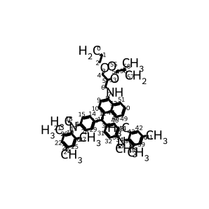 C=CCOCC(CNc1ccc(C(c2ccc(N(C)c3c(C)cc(C)cc3C)cc2)c2ccc(N(C)c3c(C)cc(C)cc3C)cc2)c2ccccc12)OC(=O)C(=C)C